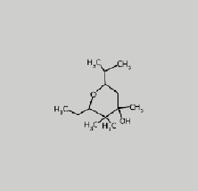 CCC1OC(C(C)C)CC(C)(O)C1(C)C